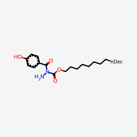 CCCCCCCCCCCCCCCCCCOC(=O)N(N)C(=O)c1ccc(O)cc1